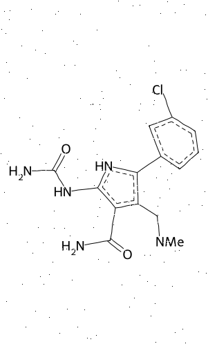 CNCc1c(-c2cccc(Cl)c2)[nH]c(NC(N)=O)c1C(N)=O